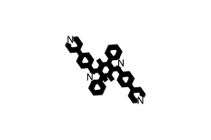 CC1=C2C(c3ccc(-c4ccncc4)cc3)=Nc3ccccc3C2(C)C(C)c2c(-c3ccc(-c4ccncc4)cc3)nc3ccccc3c21